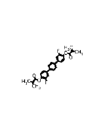 C=C(C)C(=O)Oc1ccc(-c2ccc(-c3ccc(OC(=O)C(=C)C)c(F)c3)cc2)cc1F